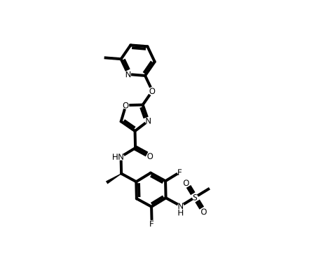 Cc1cccc(Oc2nc(C(=O)N[C@H](C)c3cc(F)c(NS(C)(=O)=O)c(F)c3)co2)n1